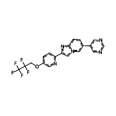 FC(F)(F)C(F)(F)COc1ccc(-c2cn3cc(-c4cncnc4)ccc3n2)nc1